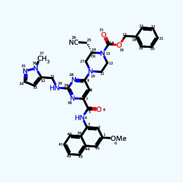 COc1cc(NC(=O)c2cc(N3CCN(C(=O)OCc4ccccc4)[C@@H](CC#N)C3)nc(NCc3ccnn3C)n2)c2ccccc2c1